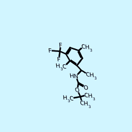 Cc1cc(C(C)NC(=O)OC(C)(C)C)c(C)c(C(F)(F)F)c1